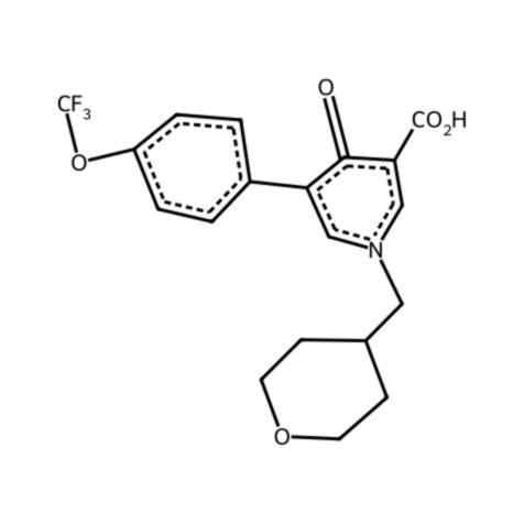 O=C(O)c1cn(CC2CCOCC2)cc(-c2ccc(OC(F)(F)F)cc2)c1=O